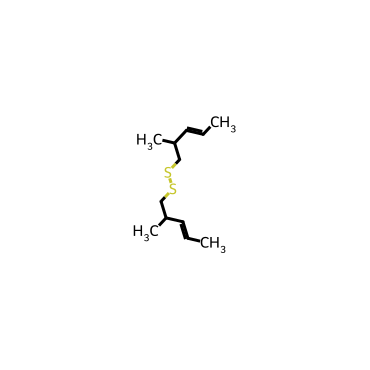 CC=CC(C)CSSCC(C)C=CC